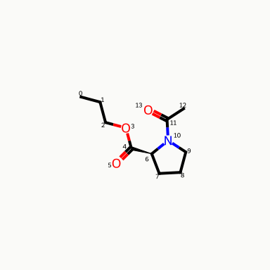 CCCOC(=O)[C@@H]1CCCN1C(C)=O